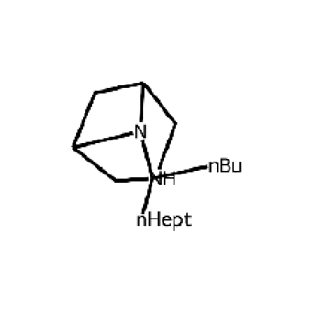 CCCCCCCC(CCCC)N1C2CNCC1C2